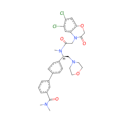 CN(C)C(=O)c1cccc(-c2ccc([C@H](CN3CCOCC3)N(C)C(=O)CN3C(=O)COc4cc(Cl)c(Cl)cc43)cc2)c1